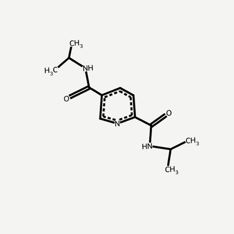 CC(C)NC(=O)c1ccc(C(=O)NC(C)C)nc1